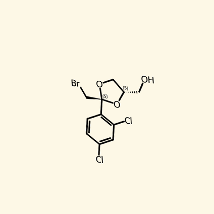 OC[C@H]1CO[C@@](CBr)(c2ccc(Cl)cc2Cl)O1